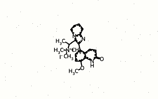 COc1ccc(-c2nc3ccccn3c2C(C)[N+](C)(C)C)c2ccc(=O)[nH]c12.[I-]